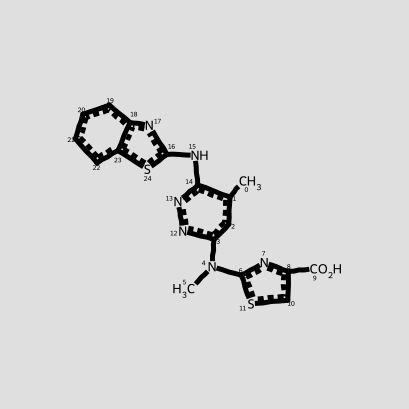 Cc1cc(N(C)c2nc(C(=O)O)cs2)nnc1Nc1nc2ccccc2s1